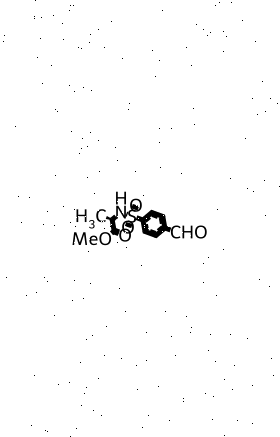 COC(=O)[C@@H](C)NS(=O)(=O)c1ccc(C=O)cc1